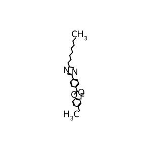 CCCCCCCCCc1cnc(-c2ccc(C(=O)Oc3ccc(CC)cc3F)cc2)cn1